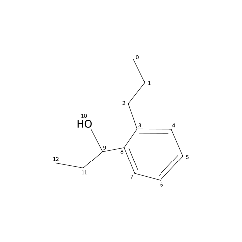 CCCc1ccccc1C(O)CC